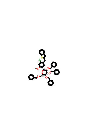 COc1cc(Cl)c(Cc2cc3ccccc3s2)cc1[C@@H]1O[C@H](COCc2ccccc2)[C@@H](OCc2ccccc2)[C@H](OCc2ccccc2)[C@H]1OCc1ccccc1